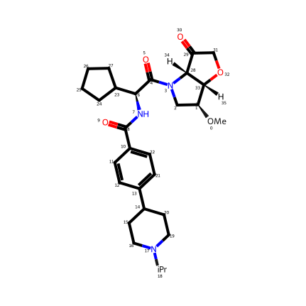 CO[C@H]1CN(C(=O)[C@@H](NC(=O)c2ccc(C3CCN(C(C)C)CC3)cc2)C2CCCC2)[C@@H]2C(=O)CO[C@H]12